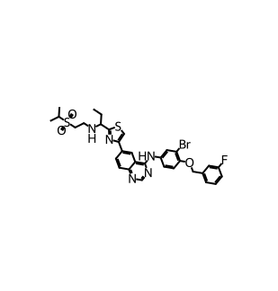 CCC(NCCS(=O)(=O)C(C)C)c1nc(-c2ccc3ncnc(Nc4ccc(OCc5cccc(F)c5)c(Br)c4)c3c2)cs1